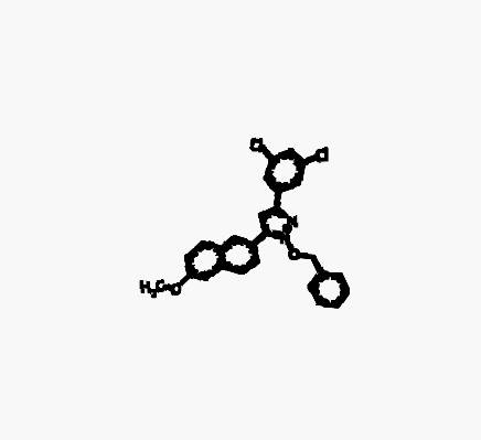 COc1ccc2cc(-c3cc(-c4cc(Cl)cc(Cl)c4)nn3OCc3ccccc3)ccc2c1